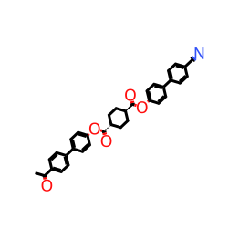 CC(=O)c1ccc(-c2ccc(OC(=O)[C@H]3CC[C@H](C(=O)Oc4ccc(-c5ccc(C#N)cc5)cc4)CC3)cc2)cc1